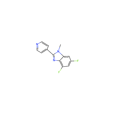 Cn1c(-c2ccncc2)nc2c(F)cc(F)cc21